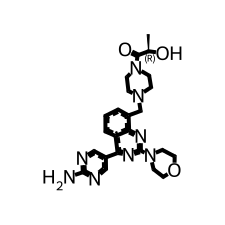 C[C@@H](O)C(=O)N1CCN(Cc2cccc3c(-c4cnc(N)nc4)nc(N4CCOCC4)nc23)CC1